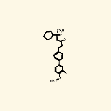 CCCCCCCCOc1ccc(-c2ccc(CCC(CC)C[C@@](F)(C(=O)O)C3CCCCC3)cc2)cc1F